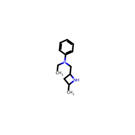 CCN(CC1CC(C)N1)c1ccccc1